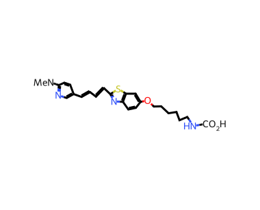 CNc1ccc(/C=C/C=C/c2nc3ccc(OCCCCCCNC(=O)O)cc3s2)cn1